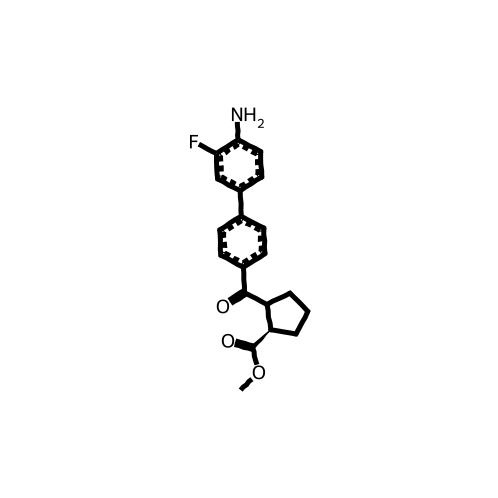 COC(=O)[C@@H]1CCCC1C(=O)c1ccc(-c2ccc(N)c(F)c2)cc1